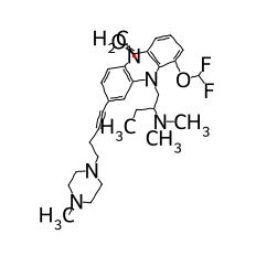 C=Nc1ccc(C#CCCN2CCN(C)CC2)cc1N(CC(CC)N(C)C)c1c(C=O)cccc1OC(F)F